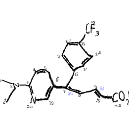 CN(C)c1ccc(/C(=C/C=C/C(=O)O)c2ccc(C(F)(F)F)cc2)cn1